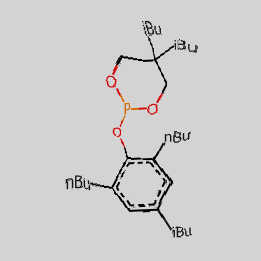 CCCCc1cc(C(C)CC)cc(CCCC)c1OP1OCC(C(C)CC)(C(C)CC)CO1